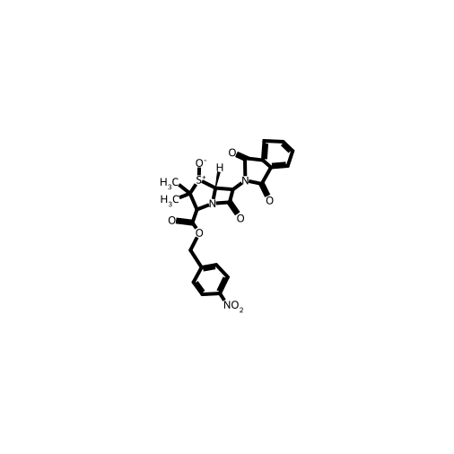 CC1(C)C(C(=O)OCc2ccc([N+](=O)[O-])cc2)N2C(=O)C(N3C(=O)c4ccccc4C3=O)[C@H]2[S+]1[O-]